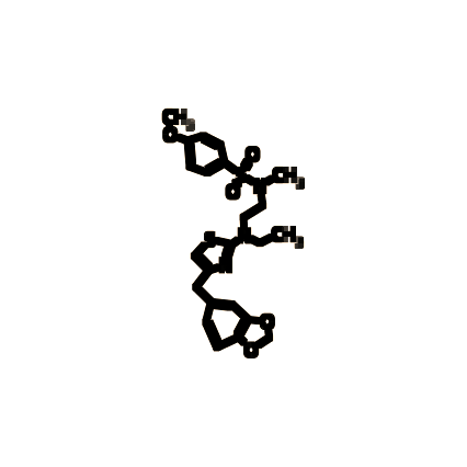 CCN(CCN(C)S(=O)(=O)c1ccc(OC)cc1)c1nc(Cc2ccc3c(c2)OCO3)cs1